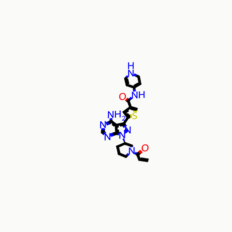 C=CC(=O)N1CCC[C@@H](n2nc(-c3cc(C(=O)NC4=CCNC=C4)cs3)c3c(N)ncnc32)C1